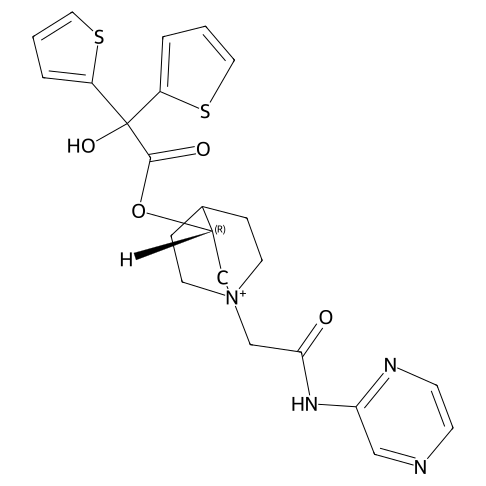 O=C(C[N+]12CCC(CC1)[C@@H](OC(=O)C(O)(c1cccs1)c1cccs1)C2)Nc1cnccn1